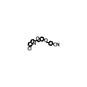 N#Cc1ccc(COc2ccc3oc(-c4ccc5ccc(Cl)cc5n4)cc3c2)cc1